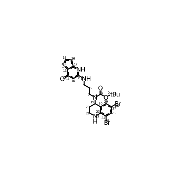 CC(C)(C)OC(=O)N(CCCNc1cc(=O)c2sccc2[nH]1)C1CCNc2c(Br)cc(Br)cc21